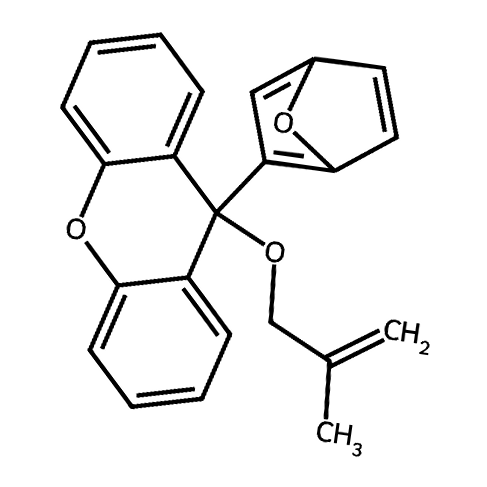 C=C(C)COC1(c2cc3ccc2o3)c2ccccc2Oc2ccccc21